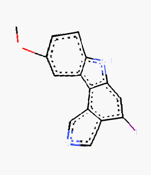 COc1ccc2[nH]c3cc(I)c4c[nH]cc4c3c2c1